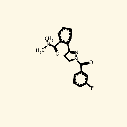 CN(C)C(=O)c1ccccc1C1=NN(C(=O)c2cccc(F)c2)CC1